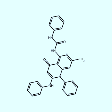 Cc1cc2c(c(NC(=O)Nc3ccccc3)n1)c(=O)cc(Nc1ccccc1)n2-c1ccccc1